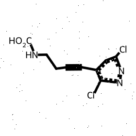 O=C(O)NCCC#Cc1cc(Cl)nnc1Cl